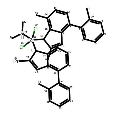 CC1=Cc2c(-c3ccccc3C)ccc(C)c2[CH]1[Zr]([Cl])([Cl])([CH]1C(C(C)C)=Cc2c(-c3ccccc3C)cccc21)[SiH](C)C